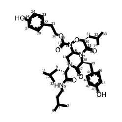 CC(C)CCNC(=O)[C@H](CC(C)C)N1CC2N(C(=O)OCCc3ccc(O)cc3)O[C@H](CC(C)C)C(=O)N2[C@@H](Cc2ccc(O)cc2)C1=O